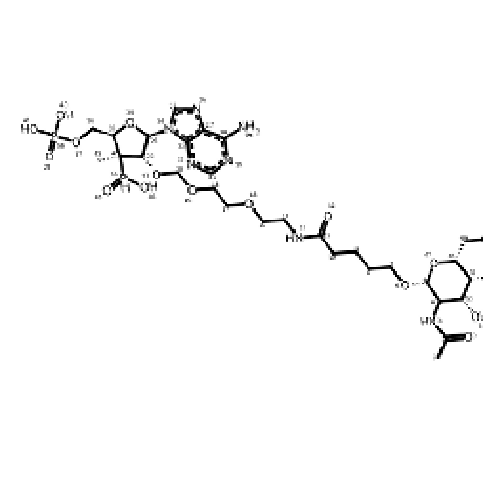 CC(=O)NC1[C@H](OCCCCC(=O)NCCOCCOCO[C@H]2[C@H](n3cnc4c(N)ncnc43)O[C@H](COP(=O)(O)O)[C@]2(C)[PH](=O)O)O[C@H](CO)[C@H](O)[C@@H]1O